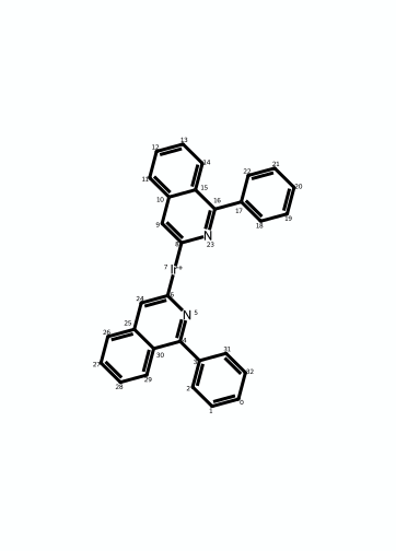 c1ccc(-c2n[c]([Ir+][c]3cc4ccccc4c(-c4ccccc4)n3)cc3ccccc23)cc1